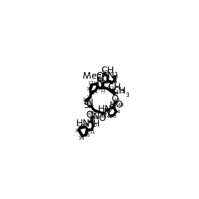 CCn1c(-c2cccnc2[C@H](C)OC)c2c3cc(ccc31)-c1csc(n1)C[C@H](NC(=O)C1CCc3ccccc3N1)C(=O)N1CCC[C@H](N1)C(=O)OCC(C)(C)C2